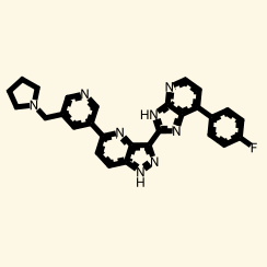 Fc1ccc(-c2ccnc3[nH]c(-c4n[nH]c5ccc(-c6cncc(CN7CCCC7)c6)nc45)nc23)cc1